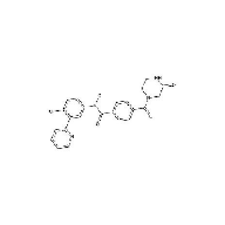 O=C1CN(C(=O)c2ccc(C(=O)N(Cl)c3ccc(Cl)c(-c4ccccn4)c3)cc2)CCN1